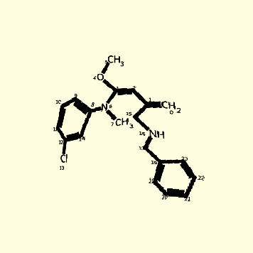 C=C(/C=C(/OC)N(C)c1cccc(Cl)c1)CNCc1ccccc1